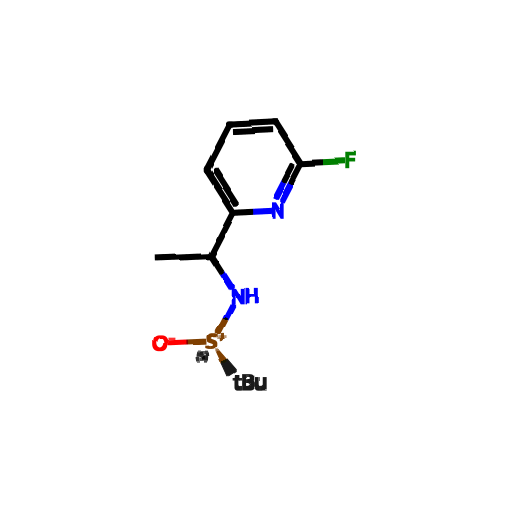 CC(N[S@+]([O-])C(C)(C)C)c1cccc(F)n1